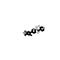 Cc1cc2c(C)noc2cc1-c1ccc(NC(=O)c2ccncc2F)nc1